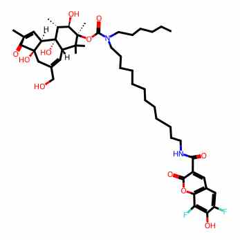 CCCCCCN(CCCCCCCCCCCCNC(=O)c1cc2cc(F)c(O)c(F)c2oc1=O)C(=O)O[C@]1(C)[C@H](O)[C@@H](C)[C@@]2(O)[C@@H](C=C(CO)C[C@]3(O)C(=O)C(C)=C[C@@H]23)C1(C)C